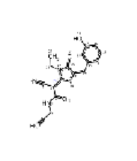 C#CCNC(=O)/C(C#N)=c1\sc(=Cc2cccc(O)c2)c(=O)n1CC